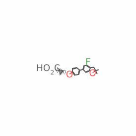 CC1(C)Cc2c(F)cc(-c3ccc(OC[C@@H]4C[C@H]4C(=O)O)cc3)cc2O1